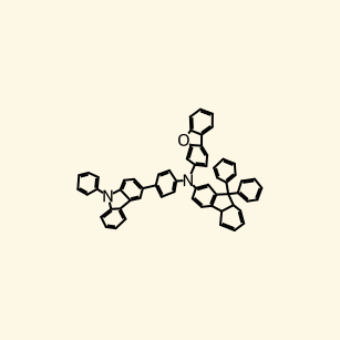 C1=CC2c3ccc(N(c4ccc(-c5ccc6c(c5)c5ccccc5n6-c5ccccc5)cc4)c4ccc5c(c4)oc4ccccc45)cc3C(c3ccccc3)(c3ccccc3)C2C=C1